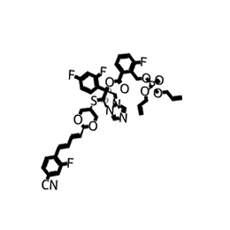 C=CCOP(=O)(OCC=C)OCc1c(F)cccc1C(=O)O[C@@](Cn1cncn1)(c1ccc(F)cc1F)[C@@H](C)S[C@H]1CO[C@H](C=CC=Cc2ccc(C#N)cc2F)OC1